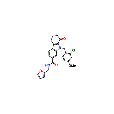 COc1ccc(Cn2c3c(c4ccc(C(=O)NCc5ccco5)cc42)CCCC3=O)c(Cl)c1